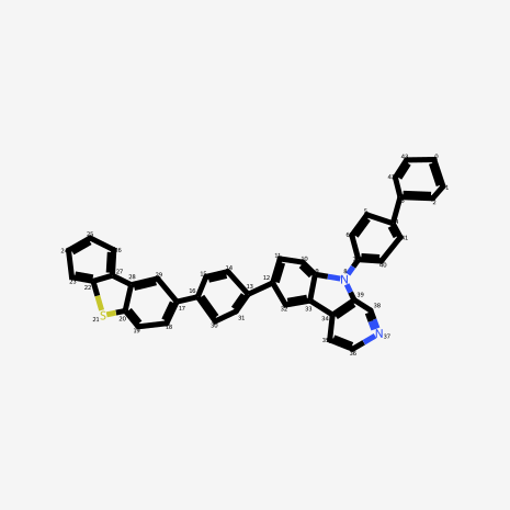 c1ccc(-c2ccc(-n3c4ccc(-c5ccc(-c6ccc7sc8ccccc8c7c6)cc5)cc4c4ccncc43)cc2)cc1